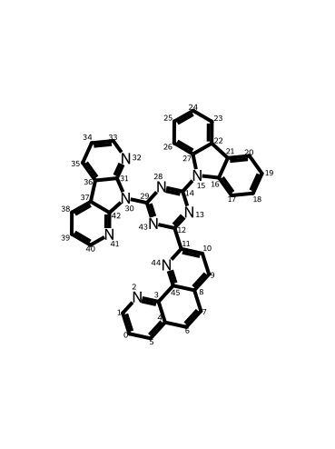 c1cnc2c(c1)ccc1ccc(-c3nc(-n4c5ccccc5c5ccccc54)nc(-n4c5ncccc5c5cccnc54)n3)nc12